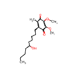 CCCCC(O)CCCCCC1=C(C)C(=O)C(OC)=C(OC)C1=O